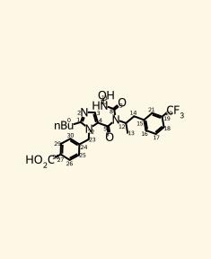 CCCCc1ncc(C(=O)N(C(=O)NO)C(C)Cc2cccc(C(F)(F)F)c2)n1Cc1ccc(C(=O)O)cc1